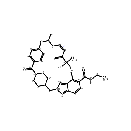 C=C(/C=C\CC(C)Oc1ccc(C(=O)N2CCC(Cn3cc4c(C)c(C(=O)NCC(F)(F)F)ccc4n3)CC2)cc1)C(F)(F)P